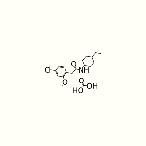 CCC1CCC(NC(=O)Cc2ccc(Cl)cc2OC)CC1.O=C(O)O